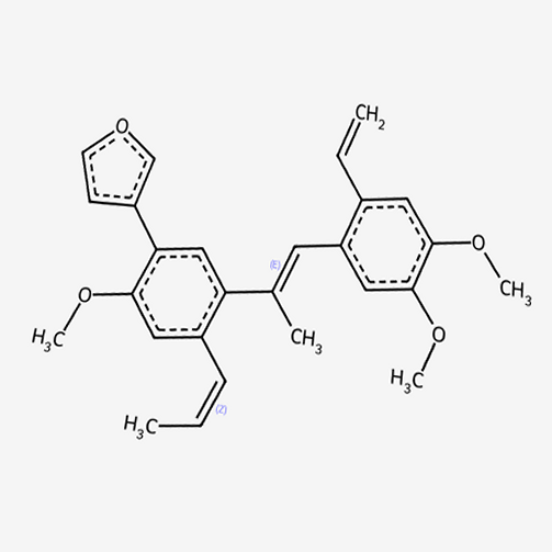 C=Cc1cc(OC)c(OC)cc1/C=C(\C)c1cc(-c2ccoc2)c(OC)cc1/C=C\C